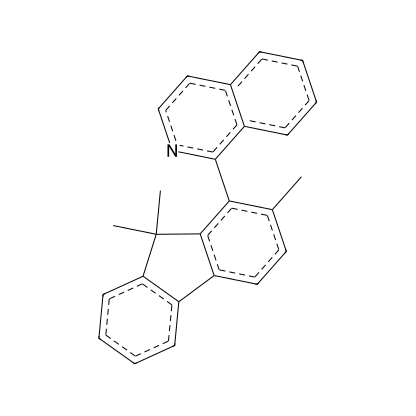 Cc1ccc2c(c1-c1nccc3ccccc13)C(C)(C)c1ccccc1-2